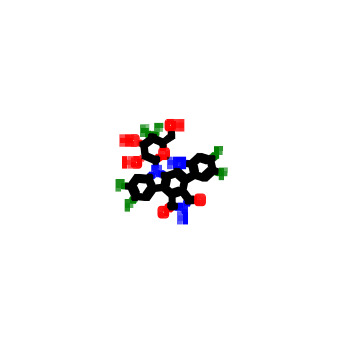 O=C1NC(=O)c2c1c1c3cc(F)c(F)cc3[nH]c1c1c2c2cc(F)c(F)cc2n1[C@@H]1O[C@H](CO)C(F)(F)[C@H](O)[C@H]1O